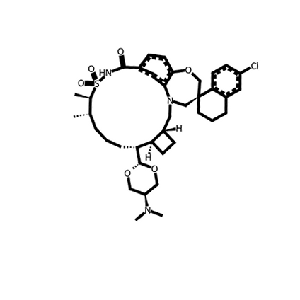 C[C@@H]1[C@@H](C)CCC[C@@H]([C@H]2OC[C@H](N(C)C)CO2)[C@@H]2CC[C@H]2CN2C[C@@]3(CCCc4cc(Cl)ccc43)COc3ccc(cc32)C(=O)NS1(=O)=O